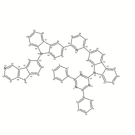 c1ccc(-c2nc(-c3ccccc3)nc(-n3c4ccccc4c4ccc(-c5cccc(-c6ccc7c(c6)c6ccccc6n7-c6ccc7sc8ccncc8c7c6)n5)cc43)n2)cc1